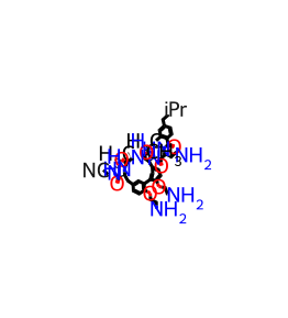 Cc1cc(CCC(C)C)ccc1C(=O)N[C@@H](CCN)C(=O)N(C)[C@@H]1C(=O)N[C@@H](C)C(=O)N[C@H](C(=O)NCC#N)Cc2ccc(OCCN)c(c2)-c2cc1ccc2OCCN